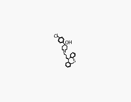 OC1(c2ccc(Cl)cc2)CCN(CCC=C2c3ccccc3CSc3ccccc32)CC1